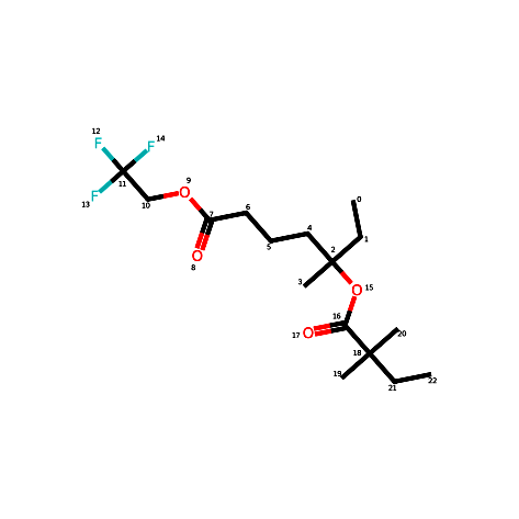 CCC(C)(CCCC(=O)OCC(F)(F)F)OC(=O)C(C)(C)CC